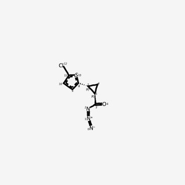 [N-]=[N+]=NC(=O)[C@@H]1C[C@H]1c1ccc(Cl)s1